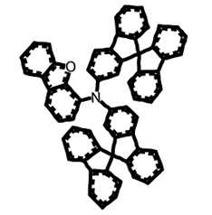 c1ccc2c(c1)-c1ccccc1C21c2ccccc2-c2ccc(N(c3ccc4c(c3)C3(c5ccccc5-c5ccccc53)c3ccccc3-4)c3cccc4c3oc3ccccc34)cc21